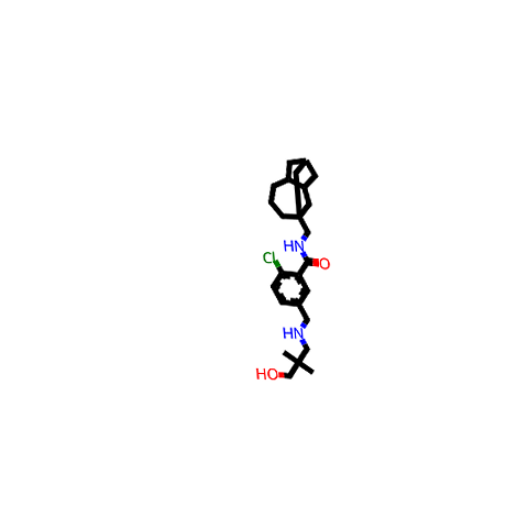 CC(C)(CO)CNCc1ccc(Cl)c(C(=O)NCC23CCCC4CC(CC4C2)C3)c1